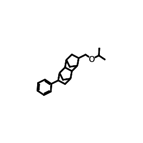 CC(C)OCC1CC2CC1C1C3CC(c4ccccc4)C(C3)C21